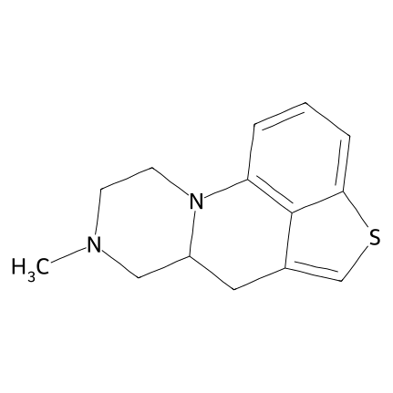 CN1CCN2c3cccc4scc(c34)CC2C1